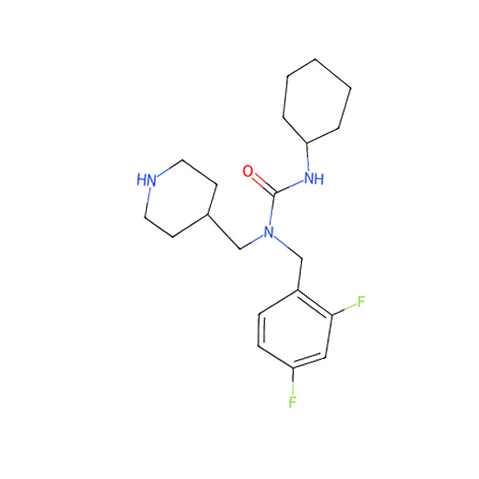 O=C(NC1CCCCC1)N(Cc1ccc(F)cc1F)CC1CCNCC1